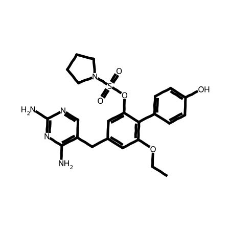 CCOc1cc(Cc2cnc(N)nc2N)cc(OS(=O)(=O)N2CCCC2)c1-c1ccc(O)cc1